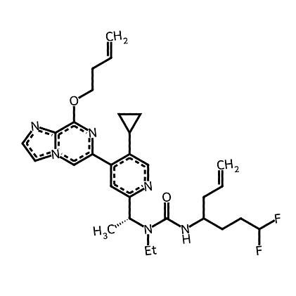 C=CCCOc1nc(-c2cc([C@@H](C)N(CC)C(=O)NC(CC=C)CCC(F)F)ncc2C2CC2)cn2ccnc12